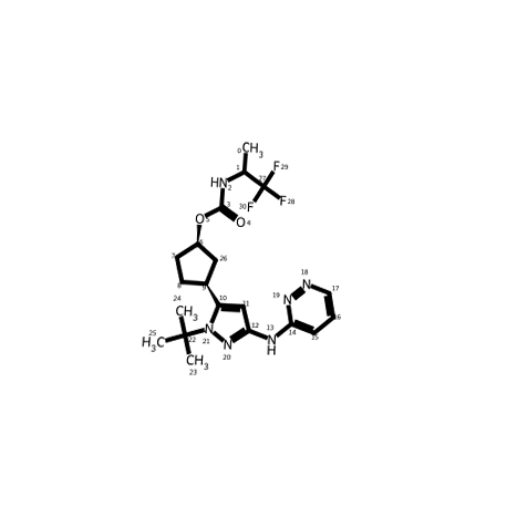 CC(NC(=O)O[C@@H]1CC[C@H](c2cc(Nc3cccnn3)nn2C(C)(C)C)C1)C(F)(F)F